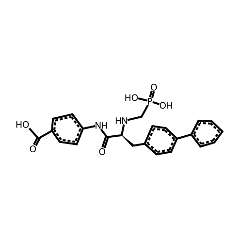 O=C(O)c1ccc(NC(=O)[C@H](Cc2ccc(-c3ccccc3)cc2)NCP(=O)(O)O)cc1